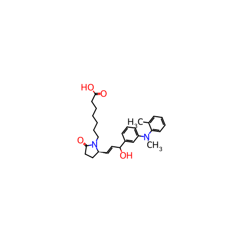 Cc1ccccc1N(C)c1cccc(C(O)C=C[C@H]2CCC(=O)N2CCCCCCC(=O)O)c1